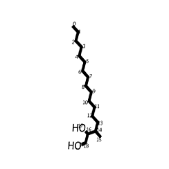 CCCCCCCCCCCCCCC(C)C(O)CO